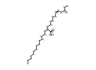 CCCCCCCCCCCCCCC(CCCCCC/C=C\CC(C)CC)C(=O)O